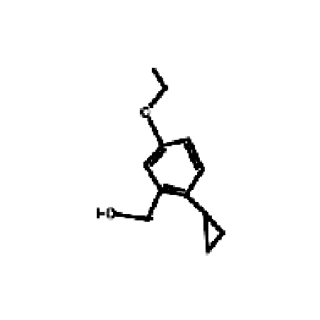 CCOc1ccc(C2CC2)c([CH]O)c1